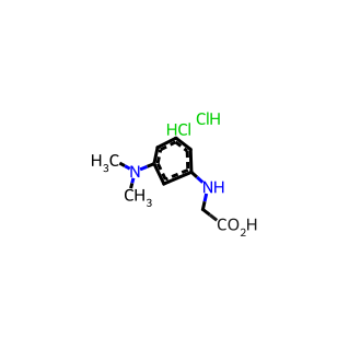 CN(C)c1cccc(NCC(=O)O)c1.Cl.Cl